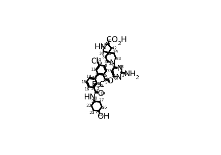 Nc1nc(O[C@H](c2ccc(Cl)cc2-c2cccc(C(=O)NC3CCC(O)CC3)c2)C(F)(F)F)cc(N2CCC3(CC2)CNC(C(=O)O)C3)n1